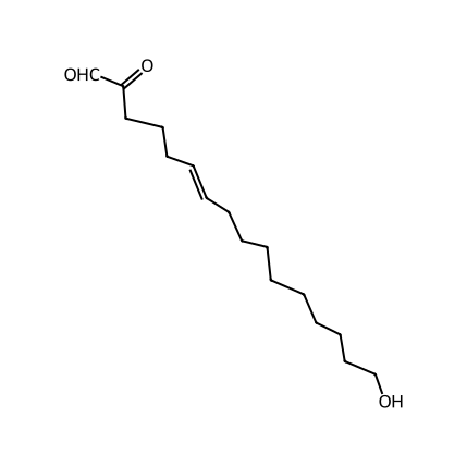 O=CC(=O)CCCC=CCCCCCCCCCO